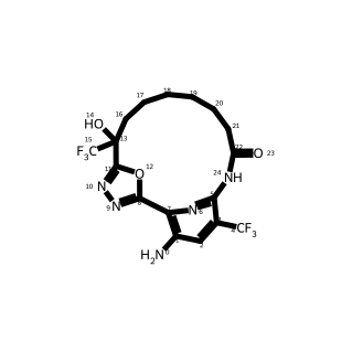 Nc1cc(C(F)(F)F)c2nc1-c1nnc(o1)C(O)(C(F)(F)F)CCCCCCC(=O)N2